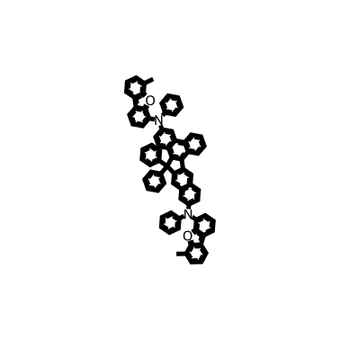 Cc1cccc2c1oc1c(N(c3ccccc3)c3ccc4cc5c(cc4c3)C(c3ccccc3)(c3ccccc3)c3c-5c4ccccc4c4cc(N(c5ccccc5)c5cccc6c5oc5c(C)cccc56)ccc34)cccc12